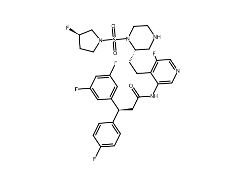 O=C(C[C@@H](c1ccc(F)cc1)c1cc(F)cc(F)c1)Nc1cncc(F)c1CC[C@H]1CNCCN1S(=O)(=O)N1CC[C@@H](F)C1